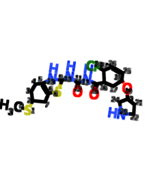 CSC1CCC2=C(C1)SC(NC(=O)NC(=O)C1CC(OC3CCNC3)C=CC1Cl)N2